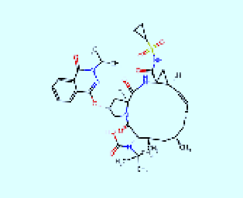 CC(C)n1nc(O[C@@H]2C[C@H]3C(=O)N[C@]4(C(=O)NS(=O)(=O)C5CC5)C[C@H]4/C=C\CC[C@@H](C)C[C@@H](C)[C@H](N(C(=O)O)C(C)(C)C)C(=O)N3C2)c2ccccc2c1=O